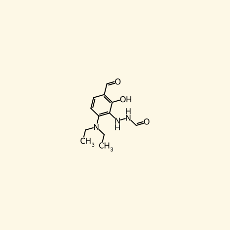 CCN(CC)c1ccc(C=O)c(O)c1NNC=O